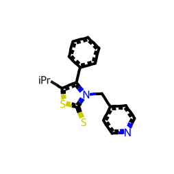 CC(C)c1sc(=S)n(Cc2ccncc2)c1-c1ccccc1